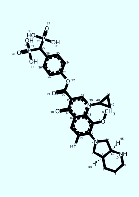 COc1c(N2C[C@@H]3CCCN[C@@H]3C2)c(F)cc2c(=O)c(C(=O)Oc3ccc(C(P(=O)(O)O)P(=O)(O)O)cc3)cn(C3CC3)c12